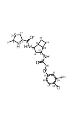 CC1NC(C(=O)NC2C[C@H](NC(=O)COc3ccc(Cl)c(F)c3)C3CCC23)CS1